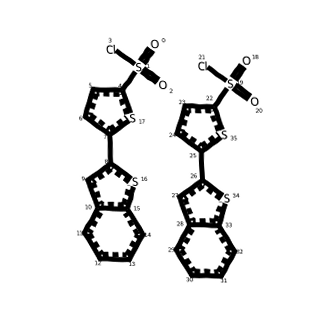 O=S(=O)(Cl)c1ccc(-c2cc3ccccc3s2)s1.O=S(=O)(Cl)c1ccc(-c2cc3ccccc3s2)s1